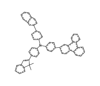 CC1(C)C(c2ccc(N(c3ccc(-c4ccc5ccccc5c4)cc3)c3ccc(-c4ccc5c6ccccc6c6ccccc6c5c4)cc3)cc2)=Cc2ccccc21